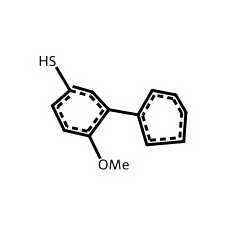 COc1ccc(S)cc1-c1ccccc1